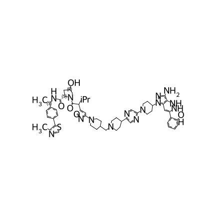 Cc1ncsc1-c1ccc([C@H](C)NC(=O)[C@@H]2C[C@@H](O)CN2C(=O)C(c2cc(N3CCC(CN4CCC(c5cnc(N6CCC(n7nc(N)c8c7C=C(c7ccccc7O)NN8)CC6)cn5)CC4)CC3)no2)C(C)C)cc1